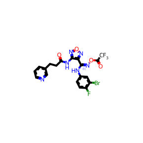 O=C(CCc1cccnc1)Nc1nonc1/C(=N\OC(=O)C(F)(F)F)Nc1ccc(F)c(Br)c1